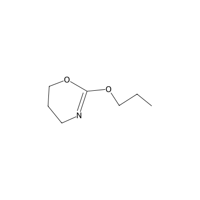 CCCOC1=NCCCO1